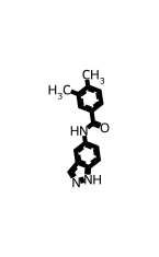 Cc1ccc(C(=O)Nc2ccc3[nH]ncc3c2)cc1C